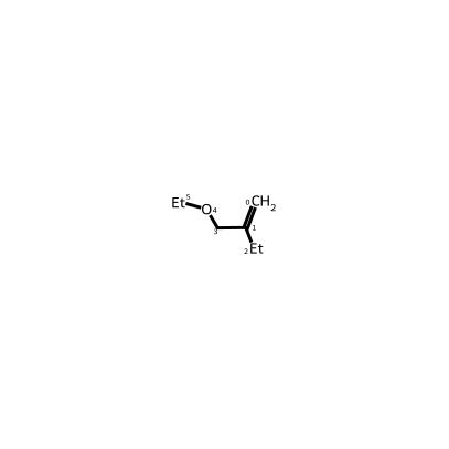 C=C(CC)COCC